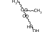 CCCCCCOC(CCC(=O)OCCCCCCNCCO)OCCCCCC